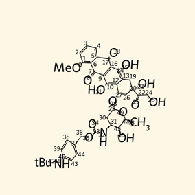 COc1cccc2c1C(=O)c1c(O)c3c(c(O)c1C2=O)C[C@@](O)(C(=O)CO)C[C@@H]3O[C@H]1C[C@H](NC(=O)OCc2ccc(NC(C)(C)C)cc2)[C@H](O)[C@H](C)O1